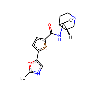 Cc1ncc(-c2ccc(C(=O)N[C@H]3CN4CCC3CC4)s2)o1